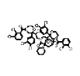 CC(CN(CC(C)C1(c2ccc(Cl)c(Cl)c2)CN(C(=O)c2cccc(Cl)c2Cl)CCO1)C(=O)C1(N2CCCCC2)CCNCC1)C1(c2ccc(Cl)c(Cl)c2)CN(C(=O)c2cccc(Cl)c2Cl)CCO1